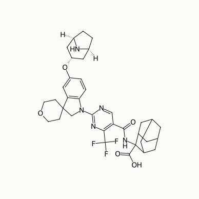 O=C(NC1(C(=O)O)C2CC3CC(C2)CC1C3)c1cnc(N2CC3(CCOCC3)c3cc(O[C@@H]4C[C@H]5CC[C@@H](C4)N5)ccc32)nc1C(F)(F)F